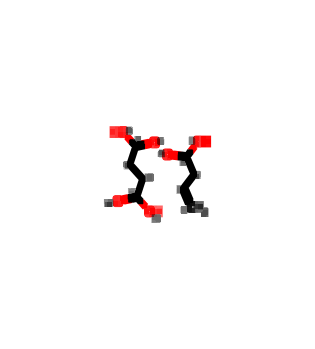 C=CCC(=O)O.O=C(O)CCC(=O)O